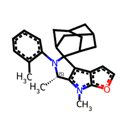 Cc1ccccc1N1[C@@H](C)c2c(c3ccoc3n2C)C12C1CC3CC(C1)CC2C3